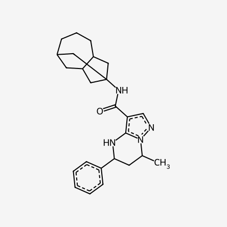 CC1CC(c2ccccc2)Nc2c(C(=O)NC34CC5CCCC(C3)C(C5)C4)cnn21